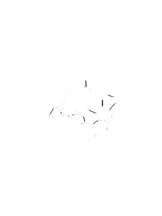 CC(=O)[O-].CCN(Cc1ccccc1)c1ccc(/N=N/c2scc[n+]2C)c(C)c1